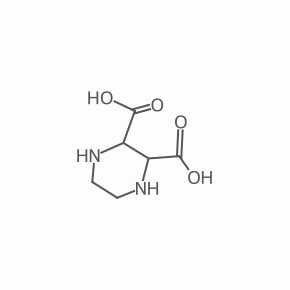 O=C(O)C1NCCNC1C(=O)O